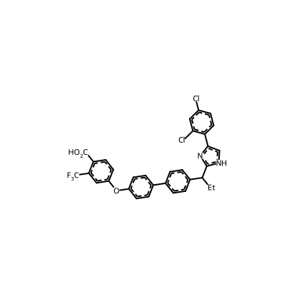 CCC(c1ccc(-c2ccc(Oc3ccc(C(=O)O)c(C(F)(F)F)c3)cc2)cc1)c1nc(-c2ccc(Cl)cc2Cl)c[nH]1